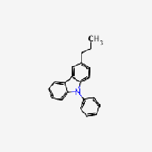 CCCc1ccc2c(c1)c1ccccc1n2-c1ccccc1